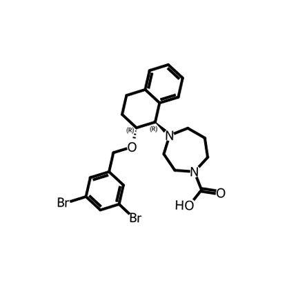 O=C(O)N1CCCN([C@@H]2c3ccccc3CC[C@H]2OCc2cc(Br)cc(Br)c2)CC1